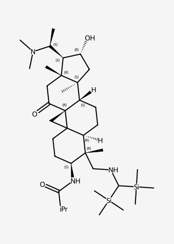 CC(C)C(=O)N[C@H]1CCC23C[C@]24C(=O)C[C@]2(C)[C@@H]([C@H](C)N(C)C)[C@H](O)C[C@@]2(C)[C@@H]4CC[C@H]3[C@]1(C)CNC([Si](C)(C)C)[Si](C)(C)C